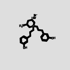 Br.NC1CCC[N+](CCCc2cccc(O)c2)(CCCc2cccc(O)c2)C1.[Br-]